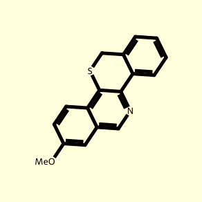 COc1ccc2c3c(ncc2c1)-c1ccccc1CS3